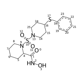 O=C(NO)C1CCCCN1S(=O)(=O)N1CCC(Sc2ccccc2)CC1